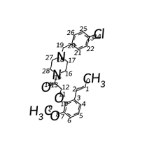 CC=Cc1cccc(OC)c1OCC(=O)N1CCN(Cc2ccc(Cl)cc2)CC1